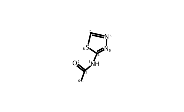 [CH2]C(=O)Nc1nncs1